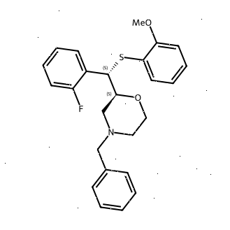 COc1ccccc1S[C@@H](c1ccccc1F)[C@@H]1CN(Cc2ccccc2)CCO1